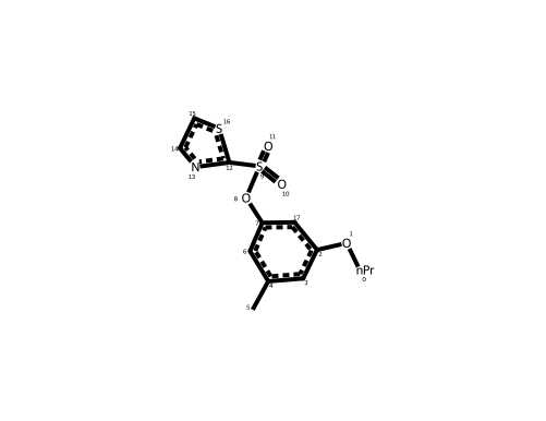 CCCOc1cc(C)cc(OS(=O)(=O)c2nccs2)c1